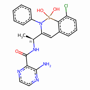 C[C@H](NC(=O)c1nccnc1N)C1=Cc2cccc(Cl)c2S(O)(O)N1c1ccccc1